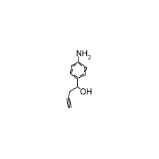 C#CCC(O)c1ccc(N)cc1